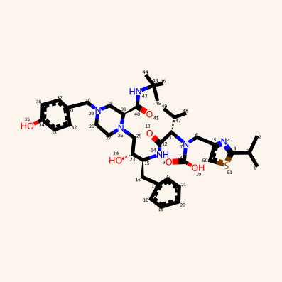 CC(C)c1nc(CN(C(=O)O)[C@H](C(=O)N[C@@H](Cc2ccccc2)[C@H](O)CN2CCN(Cc3ccc(O)cc3)C[C@H]2C(=O)NC(C)(C)C)C(C)C)cs1